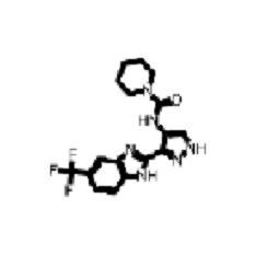 O=C(Nc1c[nH]nc1-c1nc2cc(C(F)(F)F)ccc2[nH]1)N1CCCCC1